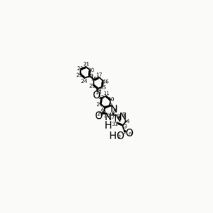 O=C(O)c1cnn(-c2nc3ccc(Oc4cccc(-c5ccccc5)c4)cc3c(=O)[nH]2)c1